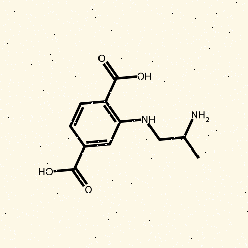 CC(N)CNc1cc(C(=O)O)ccc1C(=O)O